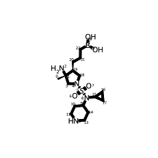 C[C@]1(N)CN(S(=O)(=O)N(C2CCNCC2)C2CC2)C[C@@H]1CCCB(O)O